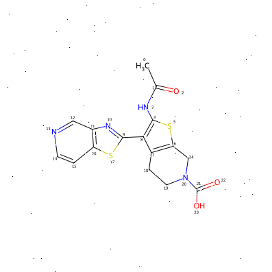 CC(=O)Nc1sc2c(c1-c1nc3cnccc3s1)CCN(C(=O)O)C2